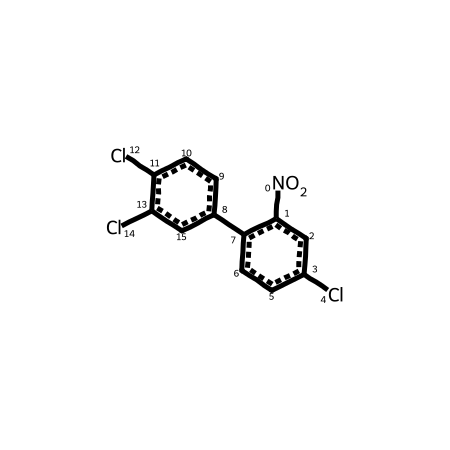 O=[N+]([O-])c1cc(Cl)ccc1-c1ccc(Cl)c(Cl)c1